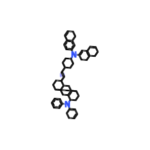 C1=CCCC(N(c2ccccc2)C2CCC3C4=C2CC2C(C4)C(/C=C/C4CCC(N(C5=CC6=C(CCC=C6)CC5)c5ccc6c(c5)CCC=C6)CC4)CCC32)=C1